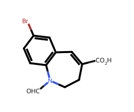 O=CN1CCC(C(=O)O)=Cc2cc(Br)ccc21